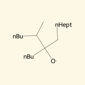 CCCCCCCCC([O])(CCCC)C(C)CCCC